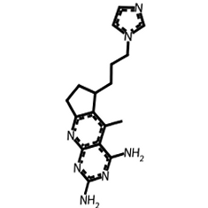 Cc1c2c(nc3nc(N)nc(N)c13)CCC2CCCn1ccnc1